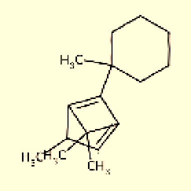 CC1[C]=C2C(C3(C)CCCCC3)=C1C2(C)C